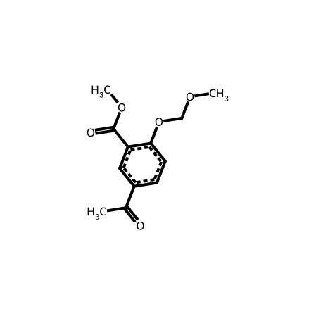 COCOc1ccc(C(C)=O)cc1C(=O)OC